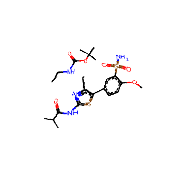 CCNC(=O)OC(C)(C)C.COc1ccc(-c2sc(NC(=O)C(C)C)nc2C)cc1S(N)(=O)=O